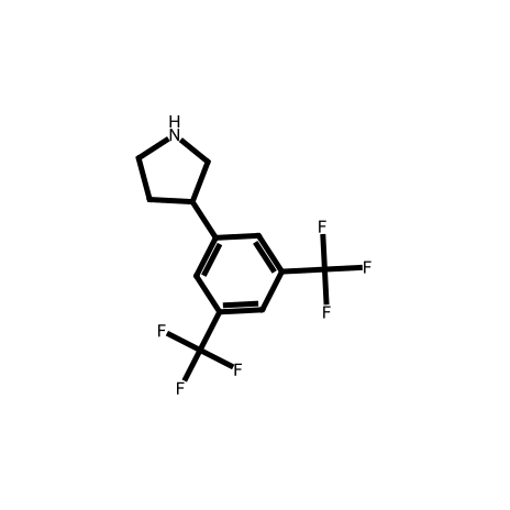 FC(F)(F)c1cc(C2CCNC2)cc(C(F)(F)F)c1